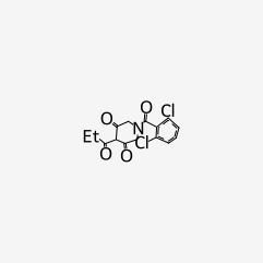 CCC(=O)C1C(=O)CN(C(=O)c2c(Cl)cccc2Cl)CC1=O